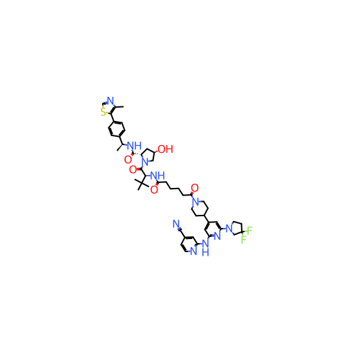 Cc1ncsc1-c1ccc([C@H](C)NC(=O)[C@@H]2C[C@@H](O)CN2C(=O)[C@@H](NC(=O)CCCCC(=O)N2CCC(c3cc(Nc4cc(C#N)ccn4)nc(N4CCC(F)(F)C4)c3)CC2)C(C)(C)C)cc1